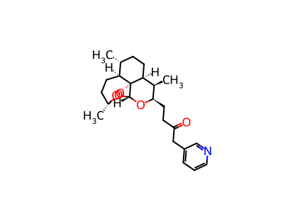 C[C@H]1[C@@H](CCC(=O)Cc2cccnc2)O[C@@H]2O[C@]3(C)CC[C@H]4[C@H](C)CC[C@@H]1[C@@]24OO3